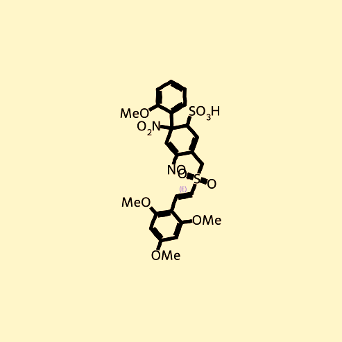 COc1cc(OC)c(/C=C/S(=O)(=O)CC2=CC(S(=O)(=O)O)C(c3ccccc3OC)([N+](=O)[O-])C=C2[N+](=O)[O-])c(OC)c1